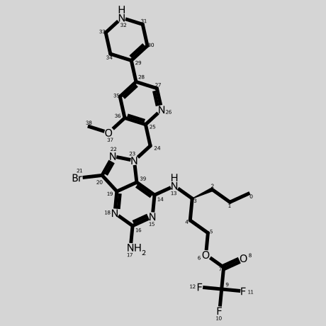 CCC[C@@H](CCOC(=O)C(F)(F)F)Nc1nc(N)nc2c(Br)nn(Cc3ncc(C4=CCNCC4)cc3OC)c12